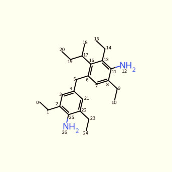 CCc1cc(Cc2cc(CC)c(N)c(CC)c2C(C)CC)cc(CC)c1N